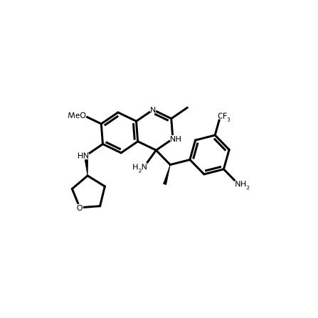 COc1cc2c(cc1N[C@H]1CCOC1)C(N)([C@H](C)c1cc(N)cc(C(F)(F)F)c1)NC(C)=N2